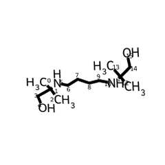 CC(C)(CO)NCCCCNC(C)(C)CO